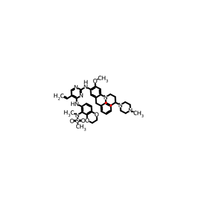 C=Cc1cnc(Nc2cc(Cc3ccccc3)c(N3CCC(N4CCN(C)CC4)CC3)cc2OC)nc1Nc1ccc2c(c1N(C)S(C)(=O)=O)OCCO2